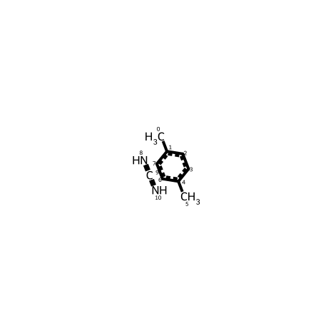 Cc1ccc(C)cc1.N=C=N